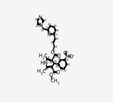 COC(=O)C1=C(C)NC(C)=C(C(=O)OCC=Cc2cccc(Cn3ccnc3)n2)C1c1cccc([N+](=O)[O-])c1